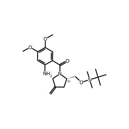 C=C1C[C@@H](CO[Si](C)(C)C(C)(C)C)N(C(=O)c2cc(OC)c(OC)cc2N)C1